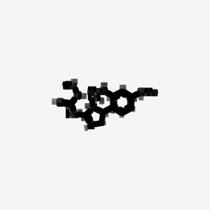 COc1ccc(C2CN=C(NC(=O)OC(C)(C)C)N2C)c(OC)c1